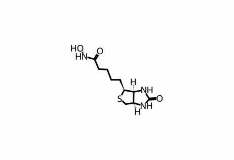 O=C(CCCC[C@@H]1SC[C@@H]2NC(=O)N[C@@H]21)NO